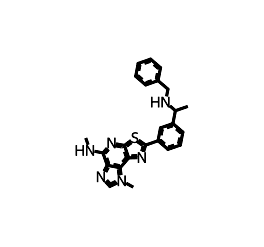 CNc1nc2sc(-c3cccc(C(C)NCc4ccccc4)c3)nc2c2c1ncn2C